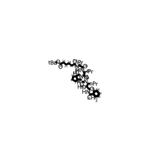 CCCC(NC(=O)[C@@H]1[C@H]2CCC[C@H]2CN1C(=O)[C@@H](NC(=O)[C@@H](NC(=O)CCCCC(=O)OC(C)(C)C)C(C)C)C(C)C)C(O)C(=O)N[C@@H](C)c1ccccc1